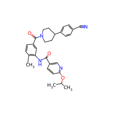 Cc1ccc(C(=O)N2CCC(c3ccc(C#N)cc3)CC2)cc1NC(=O)c1ccc(OC(C)C)nc1